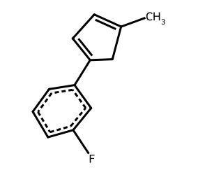 CC1=CC=C(c2cccc(F)c2)C1